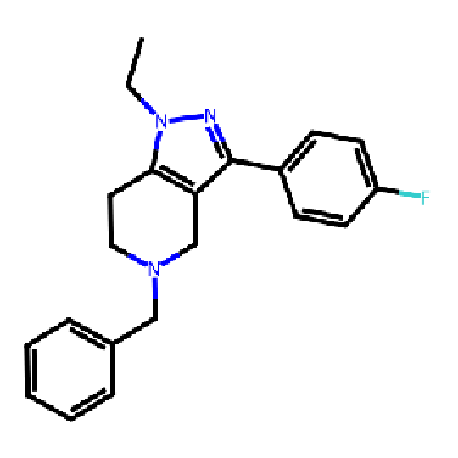 CCn1nc(-c2ccc(F)cc2)c2c1CCN(Cc1ccccc1)C2